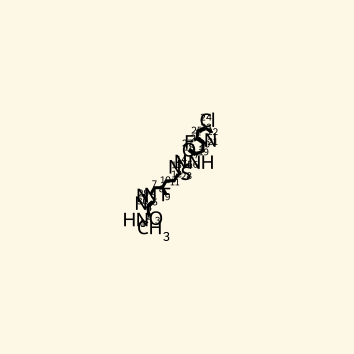 CNC(=O)c1cn(CC(F)CCc2nnc(NC(=O)Cc3ncc(Cl)cc3F)s2)nn1